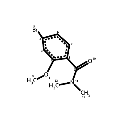 COc1cc(Br)ccc1C(=O)N(C)C